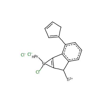 CCC[Si]1(Cl)C2=C1[CH]([Ti+2])c1cccc(C3=CC=CC3)c12.[Cl-].[Cl-]